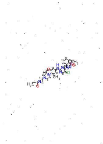 C=CC(=O)N1CC(N2CCN3c4c(C)cc(Nc5ncc(Cl)c(Nc6ccccc6P(C)(C)=O)n5)cc4OC[C@@H]3C2)C1